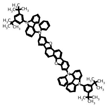 CC(C)(C)c1cc(-n2c3ccccc3c3c(N(c4ccccc4)c4ccc5c(c4)oc4c5ccc5c4ccc4c6ccc(N(c7ccccc7)c7cccc8c7c7ccccc7n8-c7cc(C(C)(C)C)cc(C(C)(C)C)c7)cc6oc45)cccc32)cc(C(C)(C)C)c1